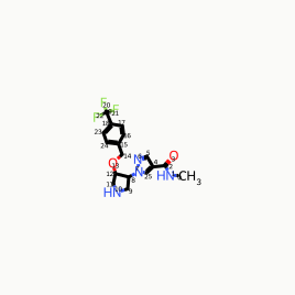 CNC(=O)c1cnn(C2CNCC2OCc2ccc(C(F)(F)F)cc2)c1